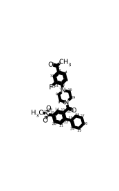 CC(=O)c1ccc(N2CCN(C(=O)c3cc(S(C)(=O)=O)ccc3C3=CCCCC3)CC2)c(F)c1